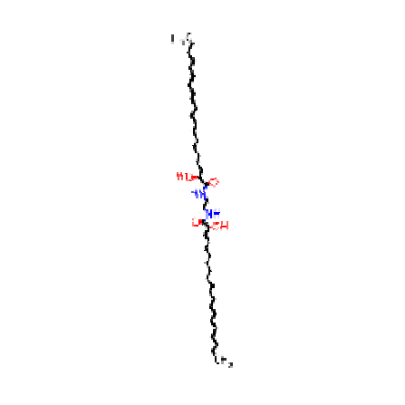 CCCCCCCCCCCCCCCCCCC(O)C(=O)NCCNC(=O)C(O)CCCCCCCCCCCCCCCCCC